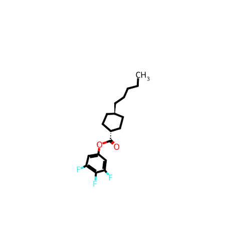 CCCCC[C@H]1CC[C@H](C(=O)Oc2cc(F)c(F)c(F)c2)CC1